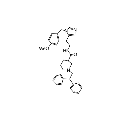 COc1ccc(Cn2cncc2CCNC(=O)C2CCCN(CC(c3ccccc3)c3ccccc3)C2)cc1